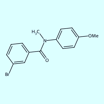 COc1ccc(N(C)C(=O)c2cccc(Br)c2)cc1